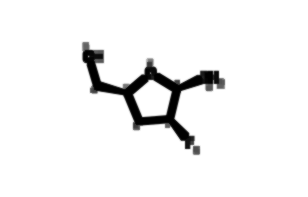 B[C@@H]1O[C@H](CO)C[C@@H]1F